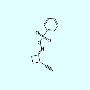 N#CC1CCC1=NOS(=O)(=O)c1ccccc1